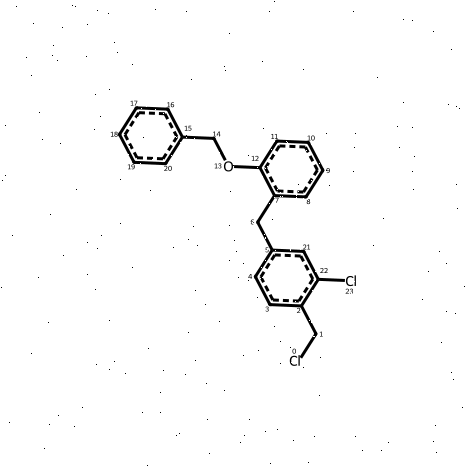 ClCc1ccc(Cc2ccccc2OCc2ccccc2)cc1Cl